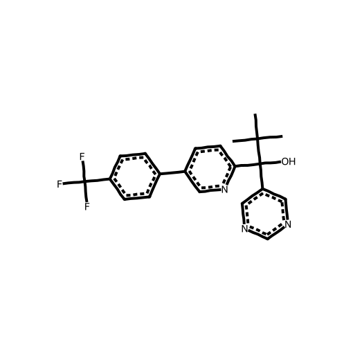 CC(C)(C)C(O)(c1cncnc1)c1ccc(-c2ccc(C(F)(F)F)cc2)cn1